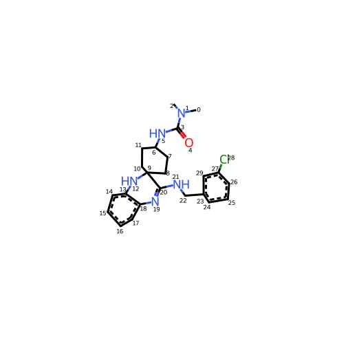 CN(C)C(=O)NC1CCC2(CC1)Nc1ccccc1N=C2NCc1cccc(Cl)c1